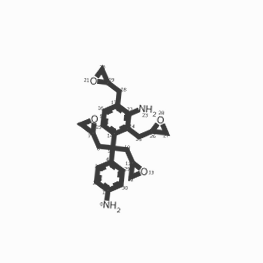 Nc1ccc(C(CC2CO2)(CC2CO2)c2ccc(CC3CO3)c(N)c2CC2CO2)cc1